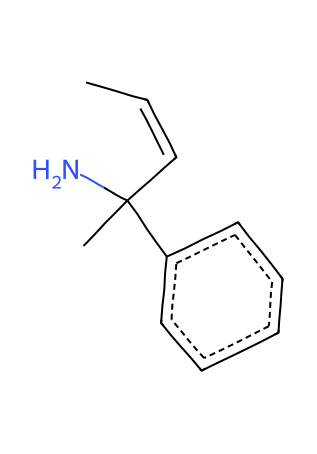 C/C=C\C(C)(N)c1ccccc1